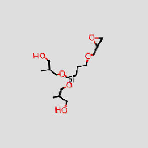 CC(CO)CO[Si](CCCOCC1CO1)OCC(C)CO